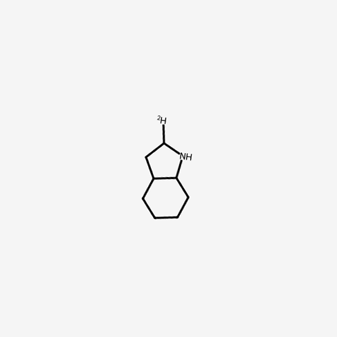 [2H]C1CC2CCCCC2N1